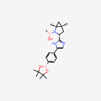 CB(O)N1[C@@H]2C[C@@H]2C[C@H]1c1ncc(-c2ccc(B3OC(C)(C)C(C)(C)O3)cc2)[nH]1